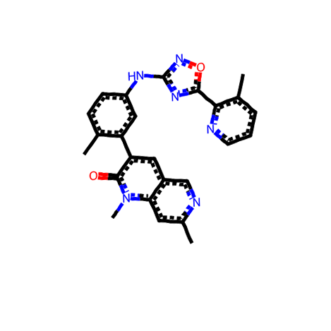 Cc1cc2c(cn1)cc(-c1cc(Nc3noc(-c4ncccc4C)n3)ccc1C)c(=O)n2C